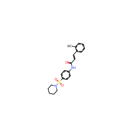 N#Cc1ccccc1C=CC(=O)Nc1ccc(S(=O)(=O)N2CCCCC2)cc1